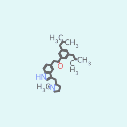 CC(C)Cc1cc(CC(C)C)cc(C(=O)Cc2ccc3[nH]cc(CC4CCCN4C)c3c2)c1